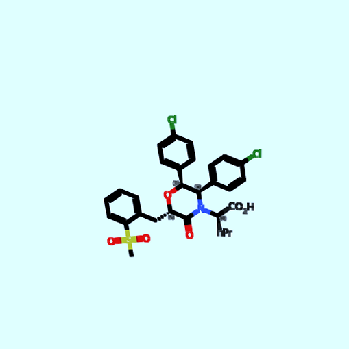 CCC[C@H](C(=O)O)N1C(=O)[C@H](Cc2ccccc2S(C)(=O)=O)O[C@@H](c2ccc(Cl)cc2)[C@H]1c1ccc(Cl)cc1